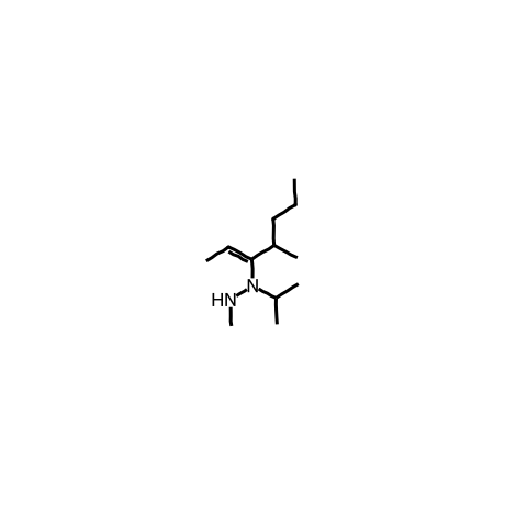 C/C=C(/C(C)CCC)N(NC)C(C)C